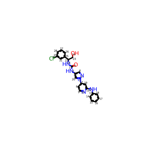 O=C(Nc1cnn(-c2ccnc(Nc3ccccc3)c2)c1)NC(CO)c1cccc(Cl)c1